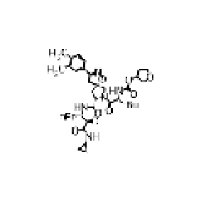 CCC[C@H](NC(=O)[C@@H]1C[C@]2(CC(c3ccc(C)c(C)c3)=NO2)CN1C(=O)[C@@H](NC(=O)O[C@H]1CCOC1)C(C)(C)C)C(=O)C(=O)NC1CC1